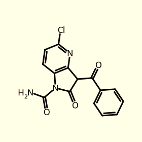 NC(=O)N1C(=O)C(C(=O)c2ccccc2)c2nc(Cl)ccc21